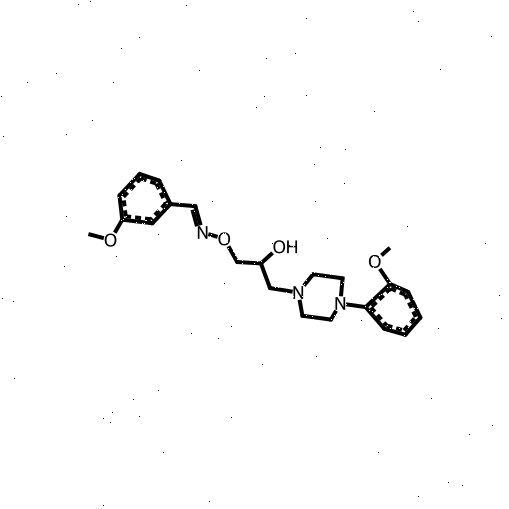 COc1cccc(C=NOCC(O)CN2CCN(c3ccccc3OC)CC2)c1